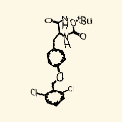 CC(C)(C)OC(=O)NC(Cc1ccc(OCc2c(Cl)cccc2Cl)cc1)C([NH])=O